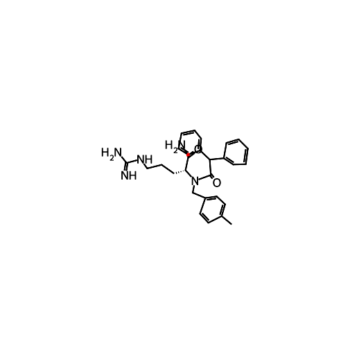 Cc1ccc(CN(C(=O)C(c2ccccc2)c2ccccc2)[C@H](CCCNC(=N)N)C(N)=O)cc1